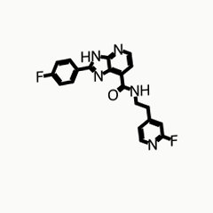 O=C(NCCc1ccnc(F)c1)c1ccnc2[nH]c(-c3ccc(F)cc3)nc12